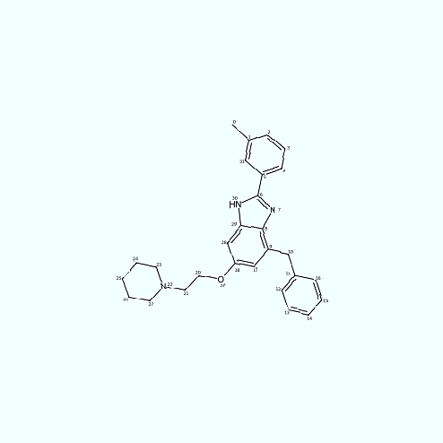 Cc1cccc(-c2nc3c(Cc4ccccc4)cc(OCCN4CCCCC4)cc3[nH]2)c1